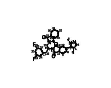 Cn1ncc(I)c1-c1ccc2c(c1)CN([C@@H](Cc1cc(F)cc(F)c1)CN1C(=O)c3ccccc3C1=O)C2=O